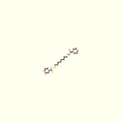 S=C(SSCCCCCCCCSSC(=S)N1CCOCC1)N1CCOCC1